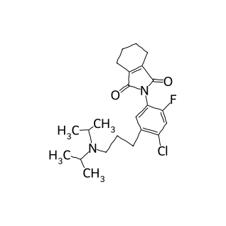 CC(C)N(CCCc1cc(N2C(=O)C3=C(CCCC3)C2=O)c(F)cc1Cl)C(C)C